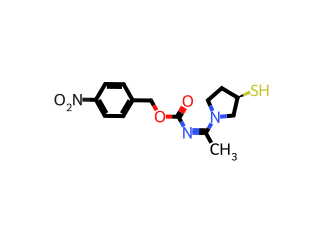 CC(=NC(=O)OCc1ccc([N+](=O)[O-])cc1)N1CC[C@@H](S)C1